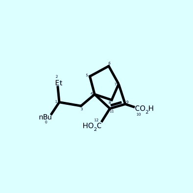 CCCCC(CC)CC12CCC(C1)C(C(=O)O)=C2C(=O)O